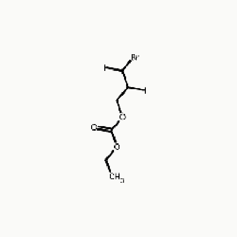 CCOC(=O)OCC(I)C(Br)I